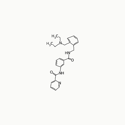 CCN(CC)Cc1ccccc1CNC(=O)c1cccc(NC(=O)c2ccccn2)c1